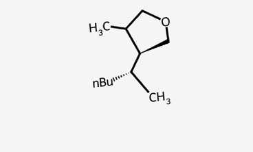 CCCC[C@@H](C)[C@@H]1COCC1C